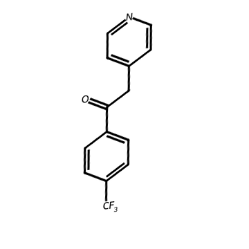 O=C(Cc1ccncc1)c1ccc(C(F)(F)F)cc1